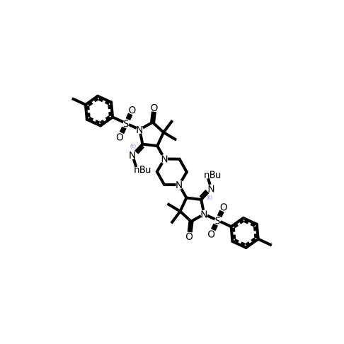 CCCC/N=C1\C(N2CCN(C3/C(=N\CCCC)N(S(=O)(=O)c4ccc(C)cc4)C(=O)C3(C)C)CC2)C(C)(C)C(=O)N1S(=O)(=O)c1ccc(C)cc1